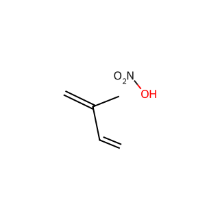 C=CC(=C)C.O=[N+]([O-])O